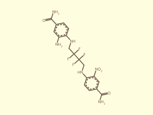 NC(=O)c1ccc(NCC(F)(F)C(F)(F)CNc2ccc(C(N)=O)cc2[N+](=O)[O-])c(N)c1